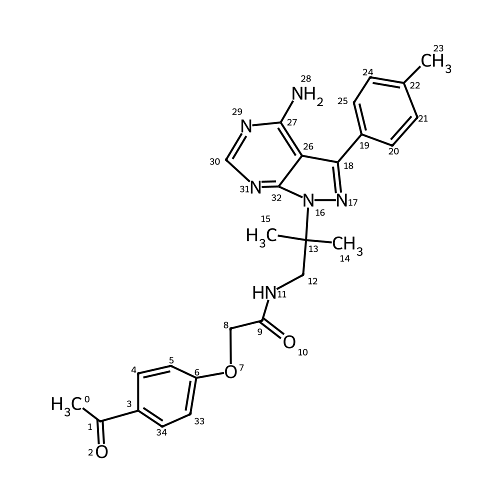 CC(=O)c1ccc(OCC(=O)NCC(C)(C)n2nc(-c3ccc(C)cc3)c3c(N)ncnc32)cc1